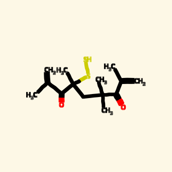 C=C(C)C(=O)C(C)(C)CC(C)(SS)C(=O)C(=C)C